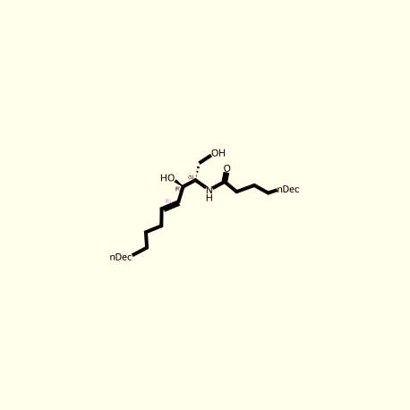 CCCCCCCCCCCCC/C=C/[C@@H](O)[C@H](CO)NC(=O)CCCCCCCCCCCCC